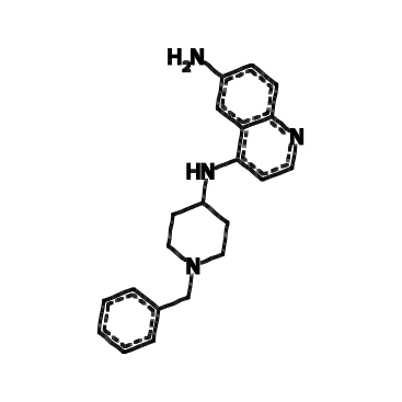 Nc1ccc2nccc(NC3CCN(Cc4ccccc4)CC3)c2c1